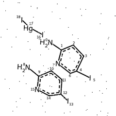 Nc1ccc(I)cn1.Nc1ccc(I)cn1.[I][Hg][I]